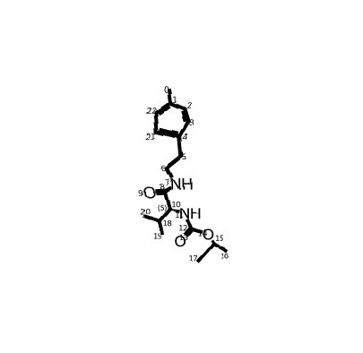 Cc1ccc(CCNC(=O)[C@@H](NC(=O)OC(C)C)C(C)C)cc1